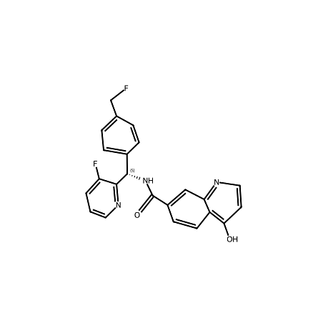 O=C(N[C@@H](c1ccc(CF)cc1)c1ncccc1F)c1ccc2c(O)ccnc2c1